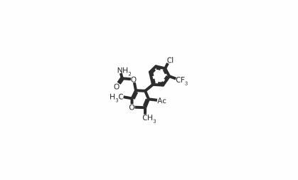 CC(=O)C1=C(C)OC(C)=C(OC(N)=O)C1c1ccc(Cl)c(C(F)(F)F)c1